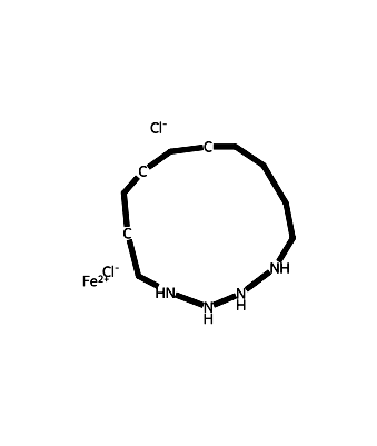 C1CCCCCNNNNCCCC1.[Cl-].[Cl-].[Fe+2]